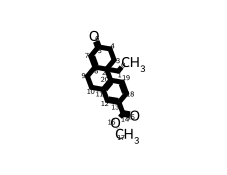 CCC12CCC(=O)C=C1CCc1cc(C(=O)OC)ccc12